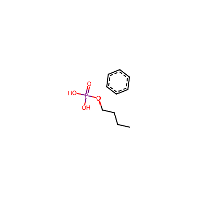 CCCCOP(=O)(O)O.c1ccccc1